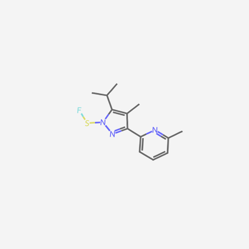 Cc1cccc(-c2nn(SF)c(C(C)C)c2C)n1